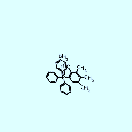 B.Cc1cc([PH](c2ccccc2)(c2ccccc2)c2ccccc2)c(C)c(C)c1C